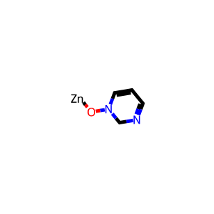 [Zn][O]N1C=CC=NC1